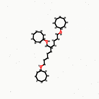 [CH](CCCCOC1CCCCCCC1)C(CCCCOC1CCCCCCC1)COC1CCCCCCC1